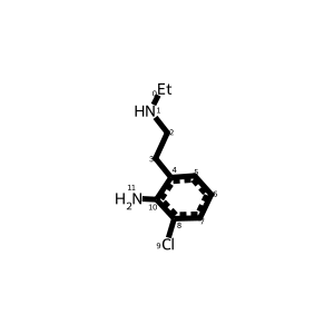 CCNCCc1cccc(Cl)c1N